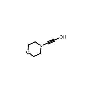 OC#CN1CCOCC1